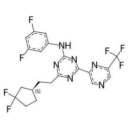 Fc1cc(F)cc(Nc2nc(CC[C@H]3CCC(F)(F)C3)nc(-c3cncc(C(F)(F)F)n3)n2)c1